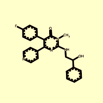 Cn1c(NCC(O)c2ccccc2)nc(-c2ccncc2)c(-c2ccc(F)cc2)c1=O